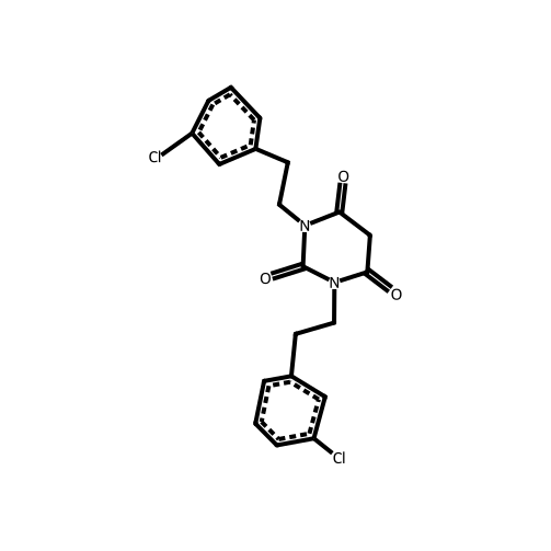 O=C1CC(=O)N(CCc2cccc(Cl)c2)C(=O)N1CCc1cccc(Cl)c1